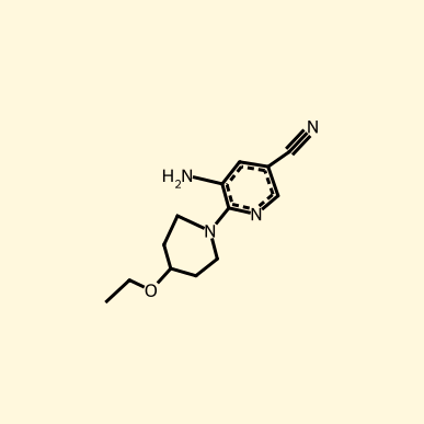 CCOC1CCN(c2ncc(C#N)cc2N)CC1